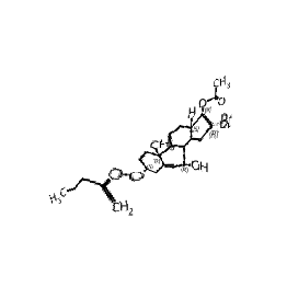 C=C(CCC)OO[C@H]1CC[C@@]2(C)C(=C[C@H](O)C3C4C[C@@H](Br)[C@H](OC(C)=O)[C@H]4CCC32)C1